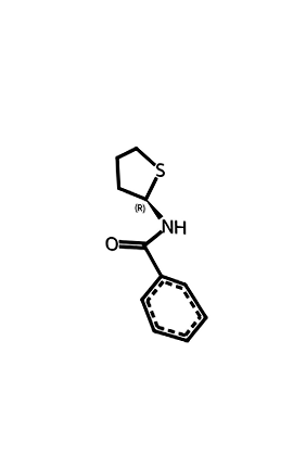 O=C(N[C@H]1CCCS1)c1ccccc1